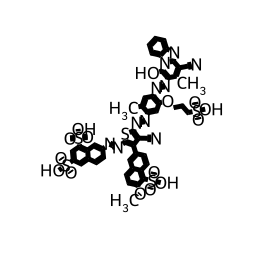 COc1ccc2cc(-c3c(N=Nc4ccc5cc(S(=O)(=O)O)cc(S(=O)(=O)O)c5c4)sc(N=Nc4cc(OCCCS(=O)(=O)O)c(N=Nc5c(C)c(C#N)c6nc7ccccc7n6c5O)cc4C)c3C#N)ccc2c1S(=O)(=O)O